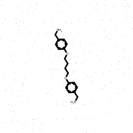 NCc1ccc(OCCCCOc2ccc(CN)cc2)cc1